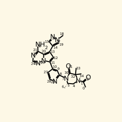 CC(=O)N1C[C@H](C)N(c2cc(-c3cc(-c4cnn(C)c4)c4c(N)ncnn34)ccn2)C(=O)C1(C)C